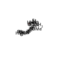 CCc1nc(C(N)=O)c(Nc2ccc(N3CCC(N4CCN(Cc5ccc(N6CCC(=O)NC6=O)cc5)CC4)CC3)c(OC)c2)nc1NC1CCOCC1